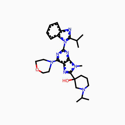 CC(C)c1nc2ccccc2n1-c1nc(N2CCOCC2)c2nc(C3(O)CCCN(C(C)C)C3)n(C)c2n1